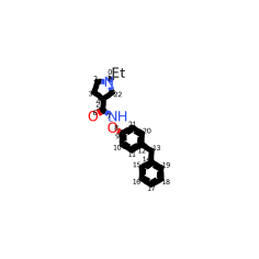 CCN1CCC(C(=O)NOc2ccc(Cc3ccccc3)cc2)C1